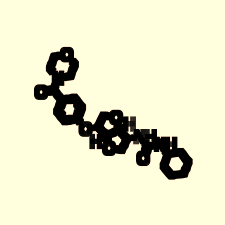 O=C(NC1CCCCC1)N[C@H]1CO[C@H]2[C@@H]1OC[C@@H]2Oc1ccc(C(=O)N2CCOCC2)cc1